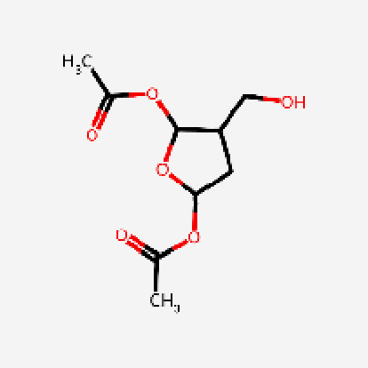 CC(=O)OC1CC(CO)C(OC(C)=O)O1